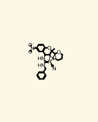 CC1(C2OCCCO2)Oc2ccc([N+](=O)[O-])cc2C(NC(=NC#N)NCc2ccccc2)C1O